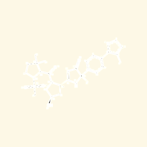 Cc1ncsc1-c1ccc(C2(C)NC([C@@H]3C[C@@H](O)CN3C(=O)C3N(S(C)(=O)=O)CCC3(C)C)=NC2=O)cc1